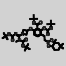 CN(C(=O)OC(C)(C)C)C(=NC(=O)OC(C)(C)C)N1CC(Oc2ccc(CCB3OC4CCC(C)(C)CC4(C)O3)c(OC(=O)OC(C)(C)C)c2C(=O)OC(C)(C)C)C1